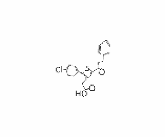 O=C(O)Cc1cc(C(=O)CCc2ccccc2)sc1-c1ccc(Cl)cc1